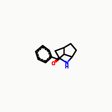 O=C1CC2CCC(N1)C2Cc1ccccc1